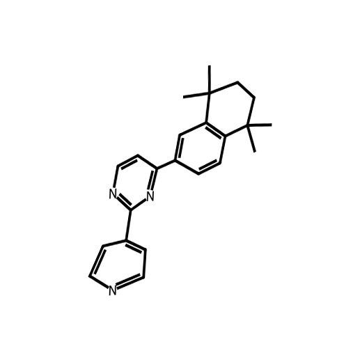 CC1(C)CCC(C)(C)c2cc(-c3ccnc(-c4ccncc4)n3)ccc21